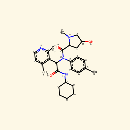 Cc1ccnc(C)c1C(C(=O)NC1CCCCC1)N(C(=O)C1CC(O)CN1C#N)c1ccc(C(C)(C)C)cc1